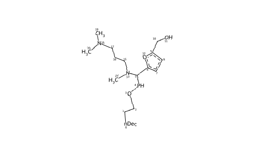 CCCCCCCCCCCCOPC(c1ccc(CO)o1)N(C)CCCN(C)C